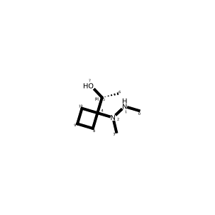 CNN(C)C1([C@@H](C)O)CCC1